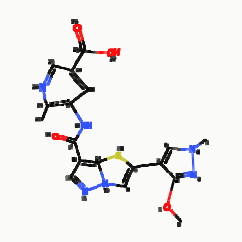 COc1nn(C)cc1-c1cn2ncc(C(=O)Nc3cc(C(=O)O)cnc3C)c2s1